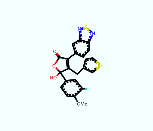 COc1ccc(C2(O)OC(=O)C(c3ccc4nsnc4c3)=C2Cc2ccsc2)cc1F